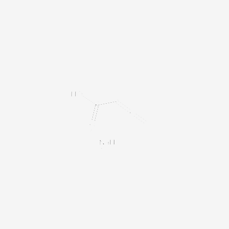 C=C=CC(=O)O.[NaH]